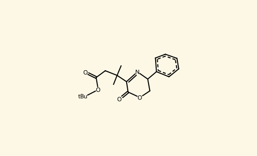 CC(C)(C)OC(=O)CC(C)(C)C1=NC(c2ccccc2)COC1=O